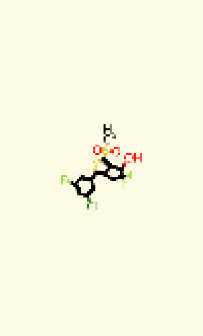 CS(=O)(=O)c1sc(-c2cc(F)cc(Cl)c2)c2c1C(O)C(F)(F)C2